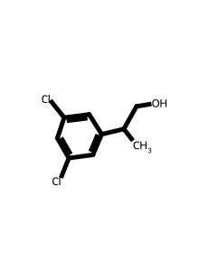 C[C](CO)c1cc(Cl)cc(Cl)c1